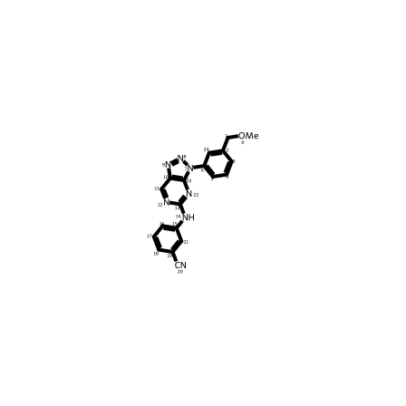 COCc1cccc(-n2nnc3cnc(Nc4cccc(C#N)c4)nc32)c1